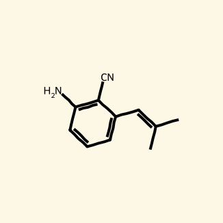 CC(C)=Cc1cccc(N)c1C#N